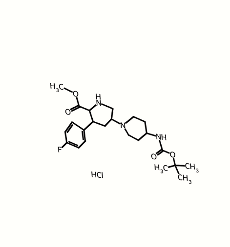 COC(=O)C1NCC(N2CCC(NC(=O)OC(C)(C)C)CC2)CC1c1ccc(F)cc1.Cl